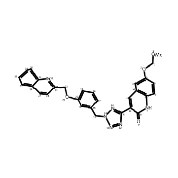 COCOc1ccc2[nH]c(=O)c(-c3nnn(Cc4cccc(OCc5ccc6ccccc6n5)c4)n3)cc2c1